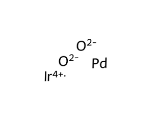 [Ir+4].[O-2].[O-2].[Pd]